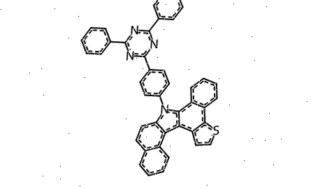 c1ccc(-c2nc(-c3ccccc3)nc(-c3ccc(-n4c5ccc6ccccc6c5c5c6ccsc6c6ccccc6c54)cc3)n2)cc1